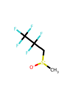 C[S+]([O-])CC(F)(F)C(F)(F)F